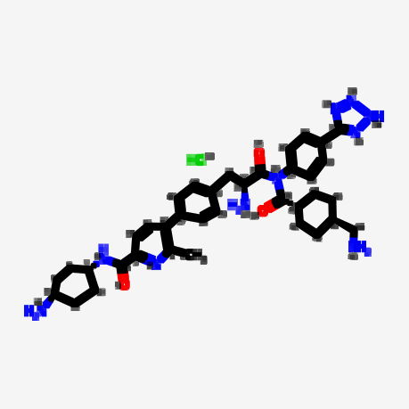 Cc1nc(C(=O)N[C@H]2CC[C@H](N)CC2)ccc1-c1ccc(C[C@H](N)C(=O)N(c2ccc(-c3nn[nH]n3)cc2)C(=O)[C@H]2CC[C@H](CN)CC2)cc1.Cl